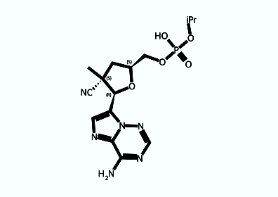 CC(C)OP(=O)(O)OC[C@@H]1C[C@@](C)(C#N)[C@H](c2cnc3c(N)ncnn23)O1